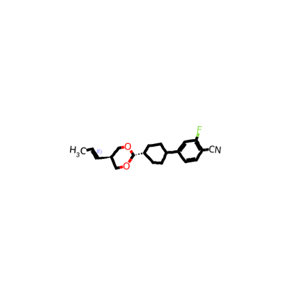 C/C=C/[C@H]1CO[C@H](C2CCC(c3ccc(C#N)c(F)c3)CC2)OC1